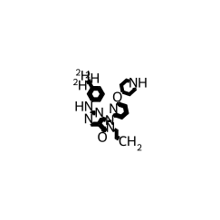 [2H]C([2H])([2H])c1cccc(Nc2ncc3c(=O)n(CC=C)n(-c4cccc(OC5CCNCC5)n4)c3n2)c1